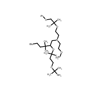 CC(C)OCCN(CCOC(C)(C)COC(C)C)CC(OC(C)(C)CCOC(C)(C)N)C(C)(C)CCC(C)(C)C